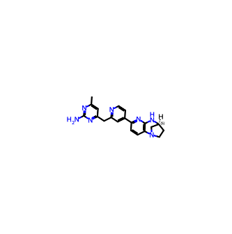 Cc1cc(Cc2cc(-c3ccc4c(n3)N[C@H]3CCN4C3)ccn2)nc(N)n1